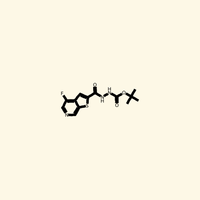 CC(C)(C)OC(=O)NNC(=O)c1cc2c(F)cncc2s1